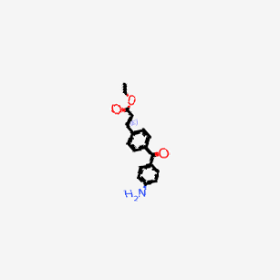 CCOC(=O)/C=C/c1ccc(C(=O)c2ccc(N)cc2)cc1